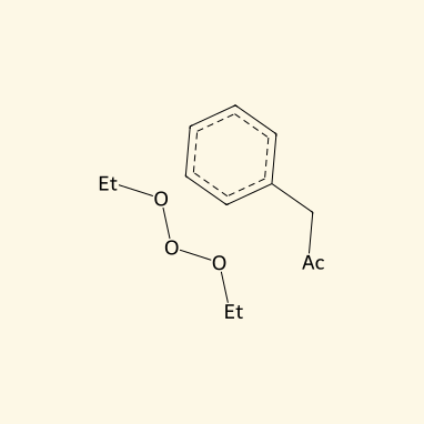 CC(=O)Cc1ccccc1.CCOOOCC